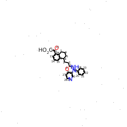 O=C(CCC1CCCc2c(C(=O)C(=O)O)cccc21)NN(c1ccccc1)c1cccnc1